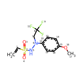 C=CS(=O)(=O)NN(CC(F)(F)F)c1ccc(OC)cc1